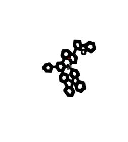 c1ccc(-c2ccc(N(c3ccc(-c4cccc5c4oc4ccccc45)cc3)c3ccc4c(c3)C3(c5ccccc5-c5ccccc53)c3ccccc3-4)c(-c3ccccc3)c2)cc1